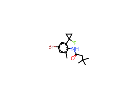 Cc1cc(Br)cc(C2(F)CC2)c1NC(=O)CC(C)(C)C